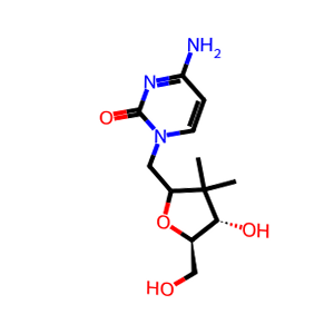 CC1(C)C(Cn2ccc(N)nc2=O)O[C@H](CO)[C@H]1O